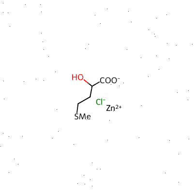 CSCCC(O)C(=O)[O-].[Cl-].[Zn+2]